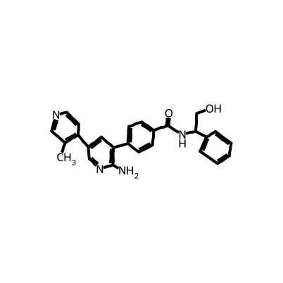 Cc1cnccc1-c1cnc(N)c(-c2ccc(C(=O)NC(CO)c3ccccc3)cc2)c1